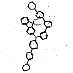 CCCC1(CCC)c2ccccc2-c2ccc(N(c3ccc(-c4ccc(C5CCCCC5)cc4)cc3)c3cccc(-c4cccc(-c5ccc(C6CCCCC6)cc5)c4)c3)cc21